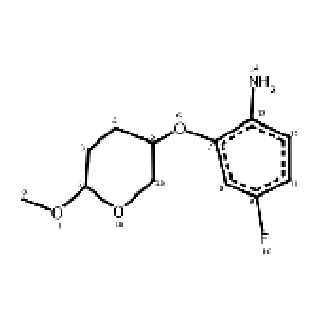 COC1CCC(Oc2cc(F)ccc2N)CO1